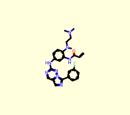 C=CC(=O)Nc1cc(Nc2ncc3cnc(-c4cccc(F)c4)n3n2)ccc1N(C)CCN(C)C